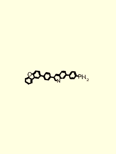 Pc1ccc(-c2ccc3cc(-c4ccc(-c5ccc6oc7ccccc7c6c5)cc4)cnc3c2)cc1